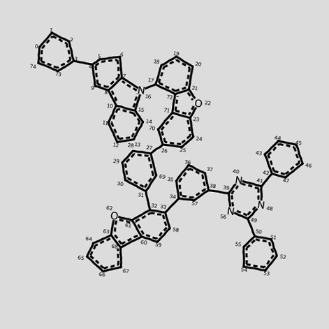 c1ccc(-c2ccc3c(c2)c2ccccc2n3-c2cccc3oc4ccc(-c5cccc(-c6c(-c7cccc(-c8nc(-c9ccccc9)nc(-c9ccccc9)n8)c7)ccc7c6oc6ccccc67)c5)cc4c23)cc1